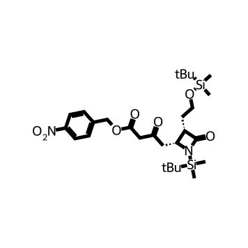 CC(C)(C)[Si](C)(C)OCC[C@@H]1C(=O)N([Si](C)(C)C(C)(C)C)[C@@H]1CC(=O)CC(=O)OCc1ccc([N+](=O)[O-])cc1